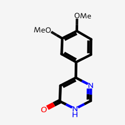 COc1ccc(-c2cc(=O)[nH]cn2)cc1OC